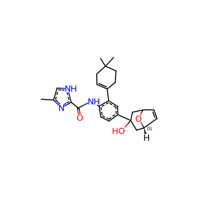 Cc1c[nH]c(C(=O)Nc2ccc(C3(O)CC4C=C[C@H](C3)O4)cc2C2=CCC(C)(C)CC2)n1